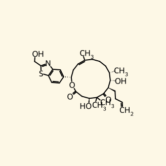 C=CCC[C@H]1C(=O)C(C)(C)[C@@H](O)CC(=O)O[C@H](c2ccc3sc(CO)nc3c2)CC=C(C)CCC[C@H](C)[C@@H]1O